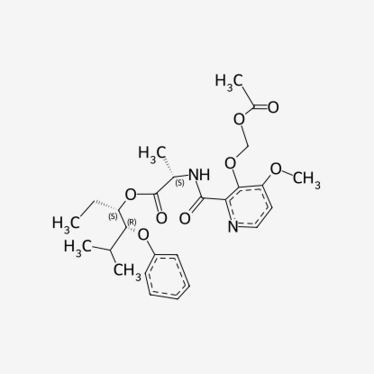 CC[C@H](OC(=O)[C@H](C)NC(=O)c1nccc(OC)c1OCOC(C)=O)[C@H](Oc1ccccc1)C(C)C